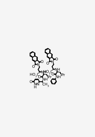 CC(C)C[C@H](NC(CCN1C(=O)c2cc3ccccc3cc2C1=O)C(=O)O)C(=O)Nc1ccccc1.CC(C)C[C@H](N[C@H](CCN1C(=O)c2cc3ccccc3cc2C1=O)C(=O)O)C(=O)NC(C)c1ccc(=O)[nH]n1